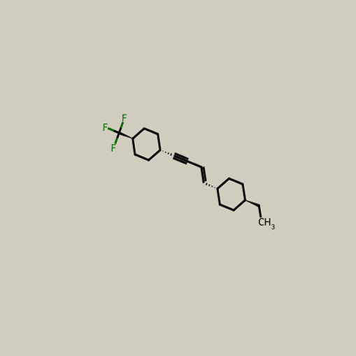 CC[C@H]1CC[C@H](/C=C/C#C[C@H]2CC[C@H](C(F)(F)F)CC2)CC1